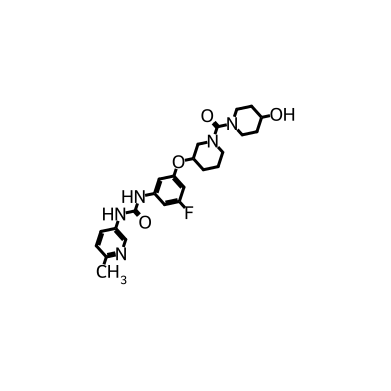 Cc1ccc(NC(=O)Nc2cc(F)cc(OC3CCCN(C(=O)N4CCC(O)CC4)C3)c2)cn1